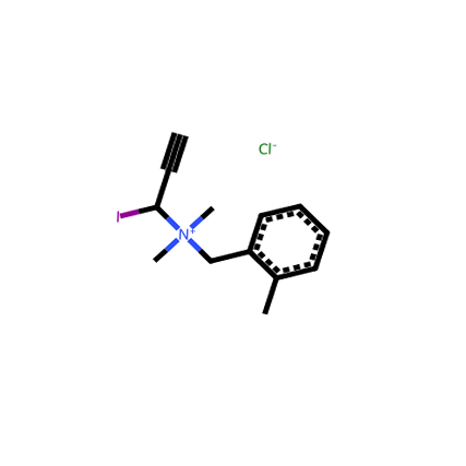 C#CC(I)[N+](C)(C)Cc1ccccc1C.[Cl-]